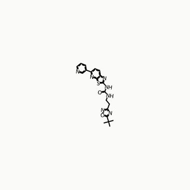 CC(C)(C)c1nc(CCNC(=O)Nc2nc3ccc(-c4cccnc4)nc3s2)no1